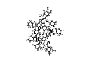 O=C1C(=CC2=Cc3cc4c(cc3C2(C(=O)OCc2ccccc2)C(=O)OCc2ccccc2)-c2cc3c(cc2C4(C(=O)OCc2ccccc2)C(=O)OCc2ccccc2)C=C(C=C2C(=O)c4cc(F)c(F)cc4C2=O)C3(C(=O)OCc2ccccc2)C(=O)OCc2ccccc2)C(=O)c2cc(F)c(F)cc21